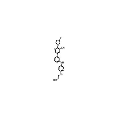 N#Cc1cc(-c2ccnc(Nc3ccc(NCCO)nc3)n2)cnc1N1CCC(F)C1